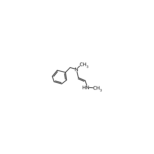 CNC=CN(C)Cc1ccccc1